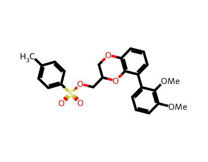 COc1cccc(-c2cccc3c2OC(COS(=O)(=O)c2ccc(C)cc2)CO3)c1OC